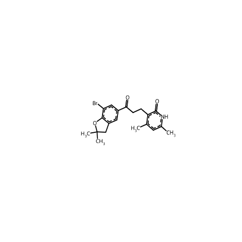 Cc1cc(C)c(CCC(=O)c2cc(Br)c3c(c2)CC(C)(C)O3)c(=O)[nH]1